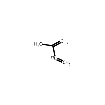 C=[13CH]C(=C)C